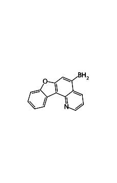 Bc1cc2oc3ccccc3c2c2ncccc12